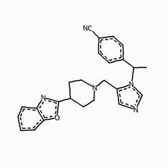 CC(c1ccc(C#N)cc1)n1cncc1CN1CCC(c2nc3ccccc3o2)CC1